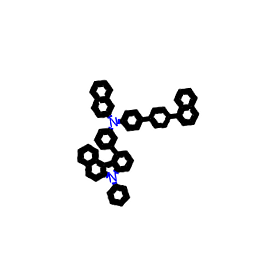 C1=CC(c2cccc3ccccc23)CC=C1c1ccc(N(c2cccc(-c3cccc4c3c3c5ccccc5ccc3n4-c3ccccc3)c2)c2ccc3ccccc3c2)cc1